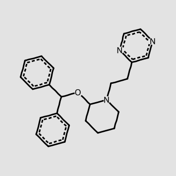 c1ccc(C(OC2CCCCN2CCc2cnccn2)c2ccccc2)cc1